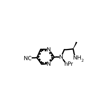 CCCN(C[C@@H](C)N)c1ncc(C#N)cn1